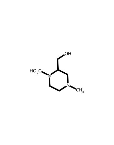 CN1CCN(C(=O)O)C(CO)C1